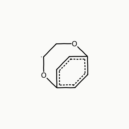 [CH]1COc2ccc(cc2)O1